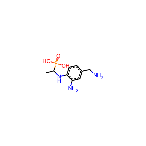 CC(Nc1ccc(CN)cc1N)P(=O)(O)O